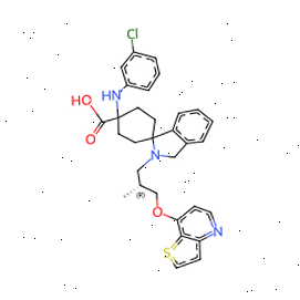 C[C@@H](COc1ccnc2ccsc12)CN1Cc2ccccc2C12CCC(Nc1cccc(Cl)c1)(C(=O)O)CC2